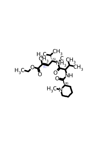 CCOC(=O)/C(C)=C/[C@H](C(C)C)N(C)C(=O)C(NC(=O)[C@H]1CCCCN1C)C(C)C